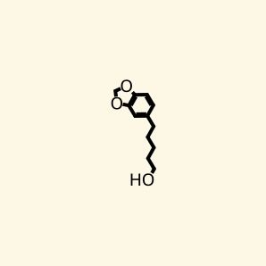 OCCCCCc1ccc2c(c1)OCO2